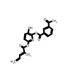 C=C/C=C(\C)C(=O)Oc1ccc(O)c(OC(=O)c2cccc(C(C)=O)c2)n1